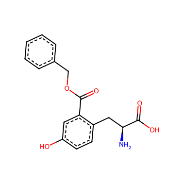 N[C@@H](Cc1ccc(O)cc1C(=O)OCc1ccccc1)C(=O)O